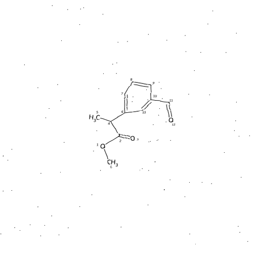 COC(=O)C(C)c1cccc(C=O)c1